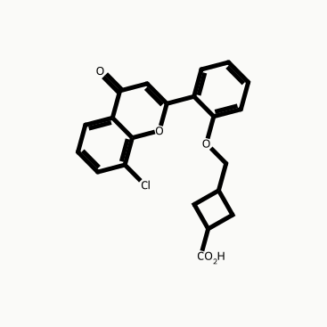 O=C(O)C1CC(COc2ccccc2-c2cc(=O)c3cccc(Cl)c3o2)C1